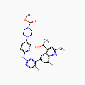 CCCCOC(=O)N1CCN(c2ccc(Nc3ncc(F)c(-c4cc(F)c5nc(C)cc(C(C)O)c5c4)n3)nc2)CC1